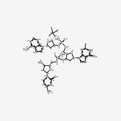 Cc1nc2c(ncn2[C@H]2CC(OP(O)(=S)OC[C@H]3O[C@@H](n4ccc(N)nc4=O)CC3O)[C@@H](COP(O)(=S)OC3C[C@H](n4cnc5c(N)ncnc54)O[C@@H]3CC(C)(C)C)O2)c(=O)[nH]1